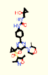 Cc1noc(C)c1S(=O)(=O)C1(c2cc(N3CCOC[C@@H]3C)nc(-c3ccc(NC(=O)NCC4(O)CC4)cc3)n2)CC1